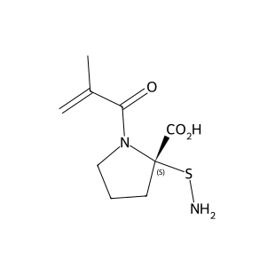 C=C(C)C(=O)N1CCC[C@]1(SN)C(=O)O